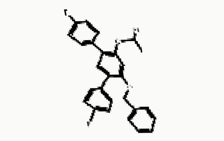 CCC(I)Oc1cc(OCc2ccccc2)c(-c2ccc(F)cc2)cc1-c1ccc(F)cc1